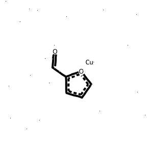 O=Cc1ccco1.[Cu]